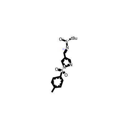 Cc1ccc(S(=O)(=O)n2cc(/C=N/[S+]([O-])C(C)(C)C)cn2)cc1